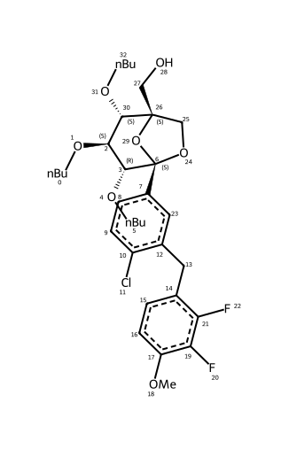 CCCCO[C@@H]1[C@@H](OCCCC)[C@@]2(c3ccc(Cl)c(Cc4ccc(OC)c(F)c4F)c3)OC[C@](CO)(O2)[C@H]1OCCCC